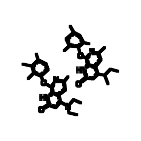 CCC(C)c1cc(=O)[nH]c2c(Oc3c(C)cc(C)cc3C)nc(C)cc12.CCN(CC)c1cc(=O)[nH]c2c(Oc3ccc(C)c(C)c3C)nc(C)cc12